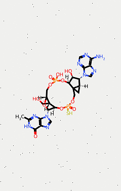 Cc1nc2c(ncn2[C@@H]2O[C@@H]3COP(=O)(O)O[C@H]4[C@@H](O)[C@H](n5cnc6c(N)ncnc65)[C@H]5CC54COP(=O)(S)O[C@@H]2[C@@H]3CO)c(=O)[nH]1